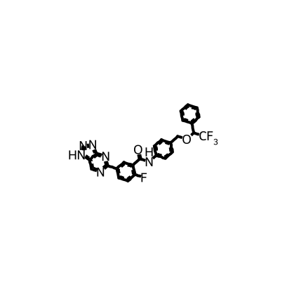 O=C(Nc1ccc(COC(c2ccccc2)C(F)(F)F)cc1)c1cc(-c2ncc3[nH]nnc3n2)ccc1F